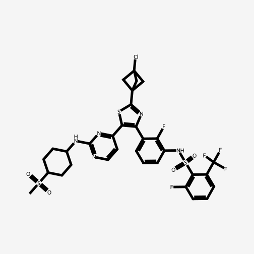 CS(=O)(=O)C1CCC(Nc2nccc(-c3sc(C45CC(Cl)(C4)C5)nc3-c3cccc(NS(=O)(=O)c4c(F)cccc4C(F)(F)F)c3F)n2)CC1